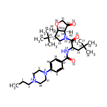 CCCN1CCN(c2ccc(C(=O)NC(CC(C)(C)C)C(=O)N3C[C@H](C(C)(C)C)[C@H]4OCC(=O)[C@H]43)cc2)CC1